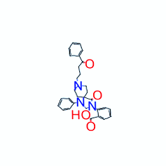 O=C(CCCN1CCC2(CC1)C(=O)N(c1ccccc1C(=O)O)CN2c1ccccc1)c1ccccc1